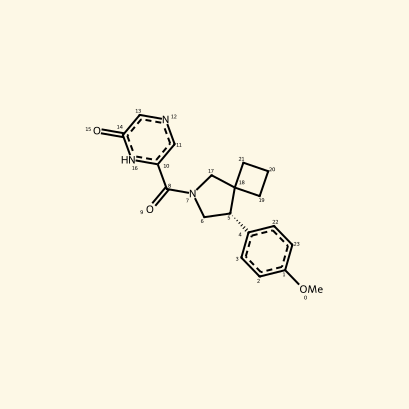 COc1ccc([C@@H]2CN(C(=O)c3cncc(=O)[nH]3)CC23CCC3)cc1